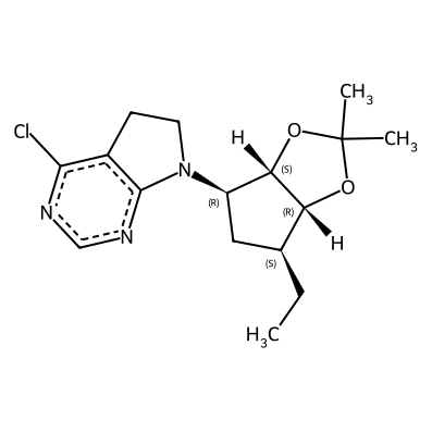 CC[C@H]1C[C@@H](N2CCc3c(Cl)ncnc32)[C@@H]2OC(C)(C)O[C@H]12